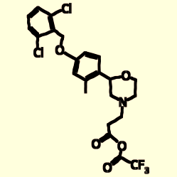 Cc1cc(OCc2c(Cl)cccc2Cl)ccc1C1CN(CCC(=O)OC(=O)C(F)(F)F)CCO1